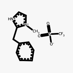 C[n+]1cc[nH]c1Cc1ccccc1.O=S(=O)([O-])C(F)(F)F